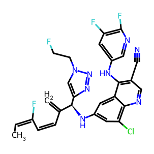 C=C(/C=C\C(F)=C/C)[C@H](Nc1cc(Cl)c2ncc(C#N)c(Nc3cnc(F)c(F)c3)c2c1)c1cn(CCF)nn1